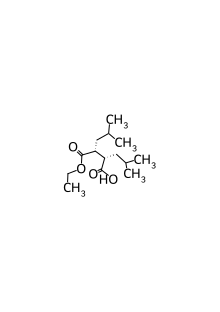 CCOC(=O)[C@H](CC(C)C)[C@H](CC(C)C)C(=O)O